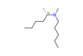 CCCCCN(C)[C@@H](C)CCCC